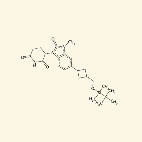 Cn1c(=O)n(C2CCC(=O)NC2=O)c2ccc(C3CC(CO[Si](C)(C)C(C)(C)C)C3)cc21